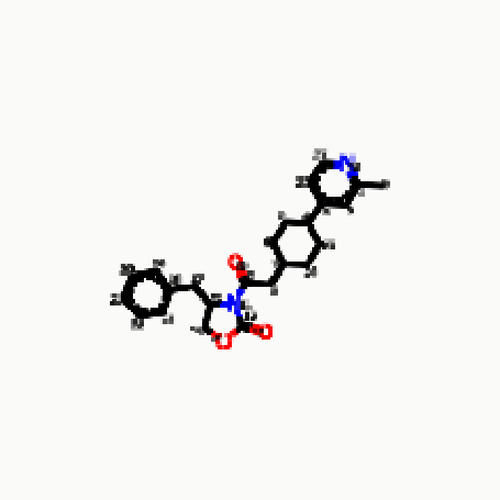 Cc1cc(C2CCC(CC(=O)N3C(=O)OCC3Cc3ccccc3)CC2)ccn1